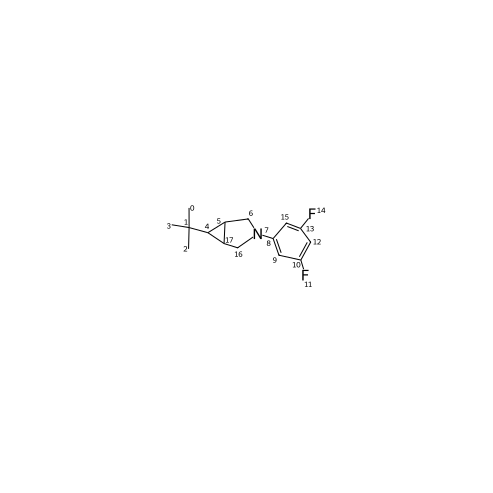 CC(C)(C)C1C2CN(c3cc(F)cc(F)c3)CC21